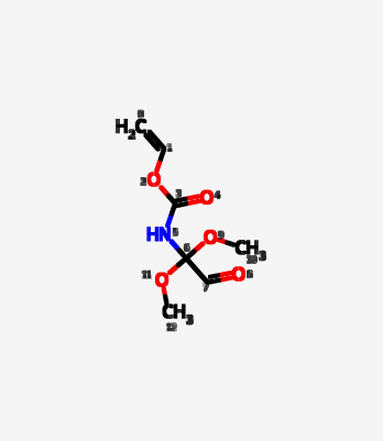 C=COC(=O)NC(C=O)(OC)OC